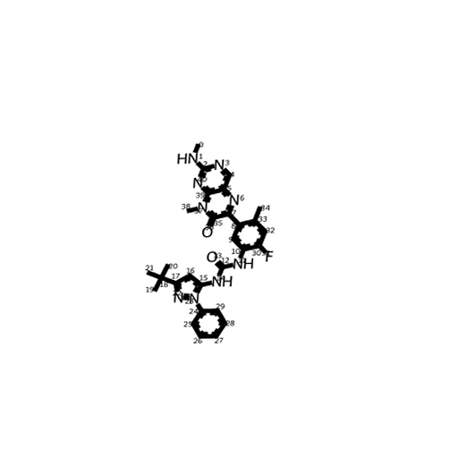 CNc1ncc2nc(-c3cc(NC(=O)Nc4cc(C(C)(C)C)nn4-c4ccccc4)c(F)cc3C)c(=O)n(C)c2n1